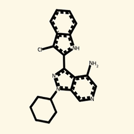 Nc1cncc2c1c(-c1[nH]c3ccccc3c1Cl)nn2C1CCCCC1